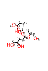 CCCC(=O)OC.CO.COCC(C)OC(=O)CCC(O)CO